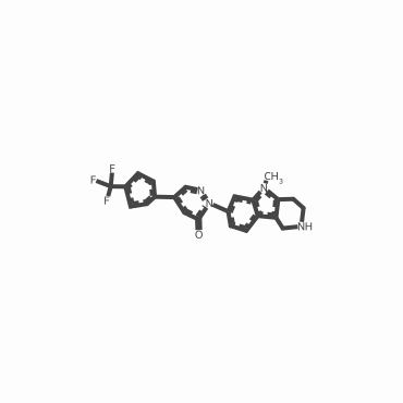 Cn1c2c(c3ccc(-n4ncc(-c5ccc(C(F)(F)F)cc5)cc4=O)cc31)CNCC2